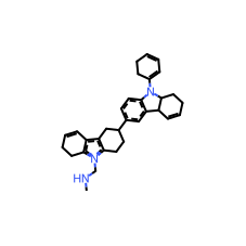 CNCn1c2c(c3c1CCC(c1ccc4c(c1)C1C=CCCC1N4C1=CC=CCC1)C3)C=CCC2